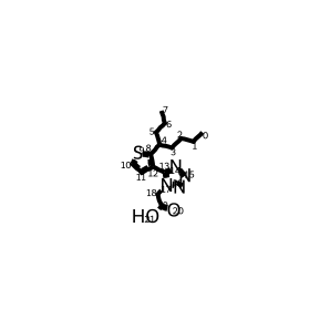 CCCCC(CCC)c1sccc1-c1nnnn1CC(=O)O